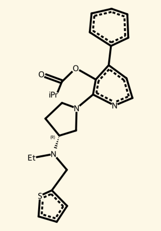 CCN(Cc1cccs1)[C@@H]1CCN(c2nccc(-c3ccccc3)c2OC(=O)C(C)C)C1